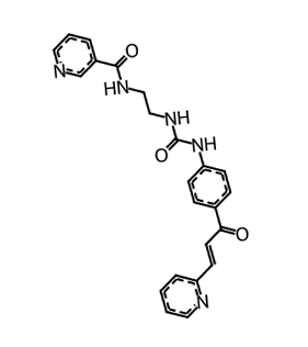 O=C(NCCNC(=O)c1cccnc1)Nc1ccc(C(=O)C=Cc2ccccn2)cc1